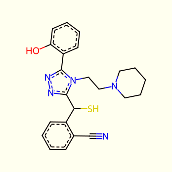 N#Cc1ccccc1C(S)c1nnc(-c2ccccc2O)n1CCN1CCCCC1